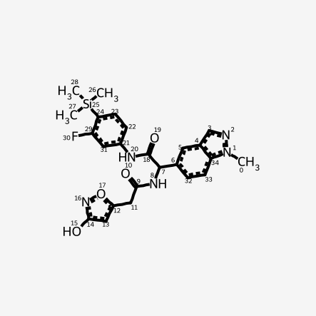 Cn1ncc2cc(C(NC(=O)Cc3cc(O)no3)C(=O)Nc3ccc([Si](C)(C)C)c(F)c3)ccc21